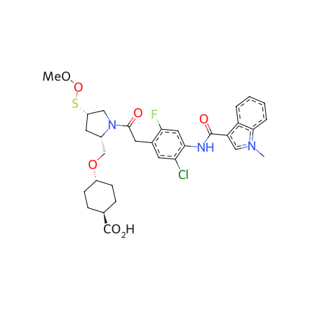 COOS[C@H]1C[C@@H](CO[C@H]2CC[C@H](C(=O)O)CC2)N(C(=O)Cc2cc(Cl)c(NC(=O)c3cn(C)c4ccccc34)cc2F)C1